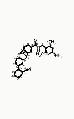 Cc1cc(N)nc(C)c1CNC(=O)c1ccc2c(c1)C1OC2c2ccc(-c3ccccc3C#N)cc21